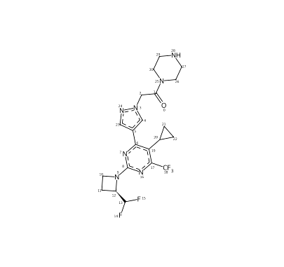 O=C(Cn1cc(-c2nc(N3CC[C@@H]3C(F)F)nc(C(F)(F)F)c2C2CC2)cn1)N1CCNCC1